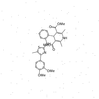 COC(=O)C1=C(C)NC(C)=C(C(=O)OC)C1c1ccccc1Nc1nc(-c2ccc(OC)c(OC)c2)c(C)s1